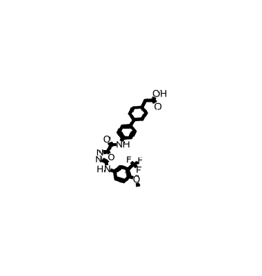 COc1ccc(Nc2nnc(C(=O)Nc3ccc(C4CCC(CC(=O)O)CC4)cc3)o2)cc1C(F)(F)F